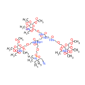 CC(=O)NC1C(OCCOCCNC(=O)CC[C@H](NC(=O)CC[C@H](NC(=O)CCOCCOP(OCCC#N)N(C(C)C)C(C)C)C(=O)NCCOCCOC2OC(COC(C)=O)C(OC(C)=O)C(OC(C)=O)C2NC(C)=O)C(=O)NCCOCCOC2OC(COC(C)=O)C(OC(C)=O)C(OC(C)=O)C2NC(C)=O)OC(COC(C)=O)C(OC(C)=O)C1OC(C)=O